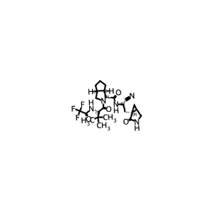 CC(C)(C)[C@H](NC(=O)C(F)(F)F)C(=O)N1C[C@@H]2CCC[C@@H]2[C@H]1C(=O)N[C@H](C#N)C[C@]12CC1CNC2=O